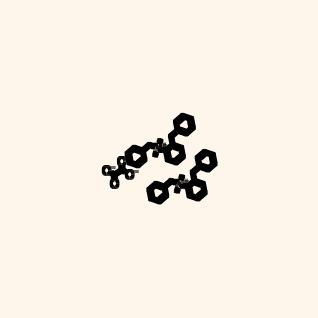 C[N+](C)(Cc1ccccc1)c1ccccc1Cc1ccccc1.C[N+](C)(Cc1ccccc1)c1ccccc1Cc1ccccc1.O=C([O-])C(=O)[O-]